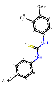 COc1ccc(NC(=S)Nc2ccc(NC(C)=O)cc2)cc1C(F)(F)F